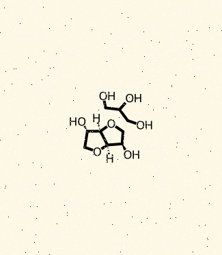 OCC(O)CO.O[C@@H]1CO[C@H]2[C@@H]1OC[C@@H]2O